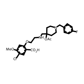 COc1cc(OCCNCC2(OC(C)=O)CCN(Cc3ccc(F)cc3)CC2)c(C(=O)O)cc1Cl